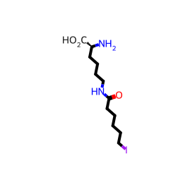 N[C@@H](CCCCNC(=O)CCCCCI)C(=O)O